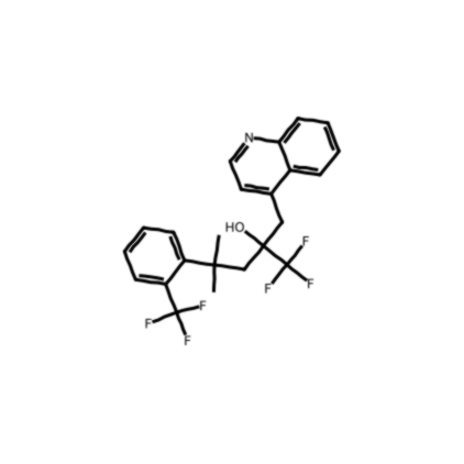 CC(C)(CC(O)(Cc1ccnc2ccccc12)C(F)(F)F)c1ccccc1C(F)(F)F